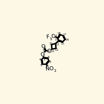 O=C(Oc1ccc([N+](=O)[O-])cc1)OC1CC(c2ccccc2C(F)(F)F)C1